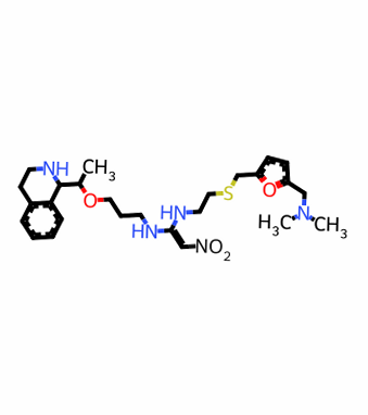 CC(OCCCNC(=C[N+](=O)[O-])NCCSCc1ccc(CN(C)C)o1)C1NCCc2ccccc21